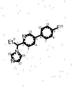 CCC(c1ccc(-c2ccc(F)cc2)cn1)n1ccnc1